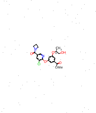 COC(=O)c1cc(Oc2ncc(C(=O)N3CCC3)cc2Cl)cc(O[C@@H](C)CO)c1